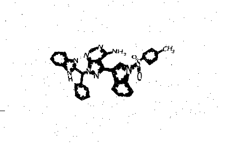 Cc1ccc(S(=O)(=O)n2cc(-c3nn(C(c4ccccc4)c4nc5ccccc5[nH]4)c4ncnc(N)c34)c3ccccc32)cc1